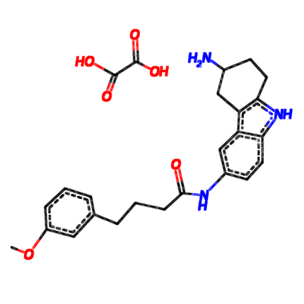 COc1cccc(CCCC(=O)Nc2ccc3[nH]c4c(c3c2)CC(N)CC4)c1.O=C(O)C(=O)O